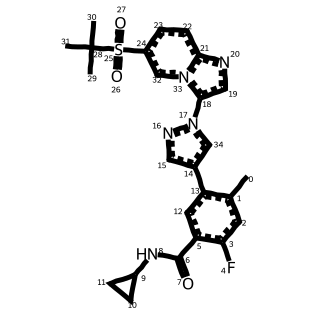 Cc1cc(F)c(C(=O)NC2CC2)cc1-c1cnn(-c2cnc3ccc(S(=O)(=O)C(C)(C)C)cn23)c1